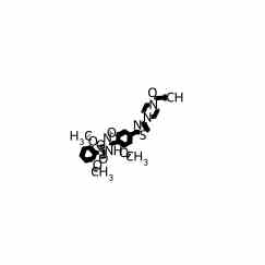 C#CC(=O)N1CCN(c2csc(-c3cc(OC)c4c(NS(=O)(=O)c5c(OC)cccc5OC)noc4c3)n2)CC1